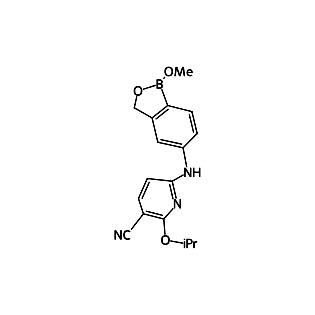 COB1OCc2cc(Nc3ccc(C#N)c(OC(C)C)n3)ccc21